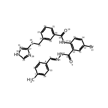 Cc1ccc(C=NNC(=O)c2cc(Br)ccc2NC(=O)c2cccc(CSc3nc[nH]n3)c2)cc1